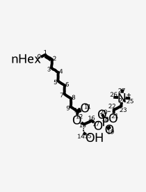 CCCCCC/C=C\CCCCCCCC(=O)O[C@@H](CO)COP(=O)([O-])OCC[N+](C)(C)C